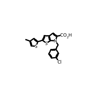 Cc1csc(-c2cc3cc(C(=O)O)n(Cc4cccc(Cl)c4)c3s2)c1